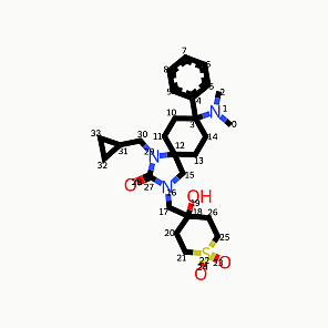 CN(C)C1(c2ccccc2)CCC2(CC1)CN(CC1(O)CCS(=O)(=O)CC1)C(=O)N2CC1CC1